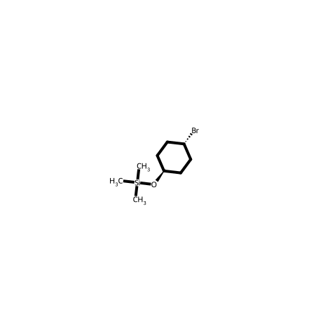 C[Si](C)(C)O[C@H]1CC[C@H](Br)CC1